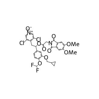 COc1cc2c(cc1OC)C(=O)N(CC(=O)OC(Cc1c(Cl)c[n+]([O-])cc1Cl)c1ccc(OC(F)F)c(OCC3CC3)c1)C2=O